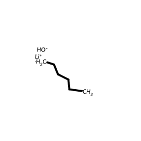 [CH2]CCCCC.[Li+].[OH-]